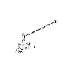 C#CC#CC#CC#CC#CC#CC(=O)OC[C@H](COP(=O)(O)O)OC(=O)CCCCCCCCCCC